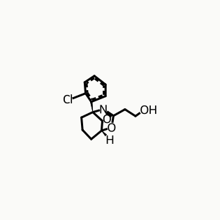 O=C1[C@H]2CCC[C@]1(c1ccccc1Cl)N=C(CCO)O2